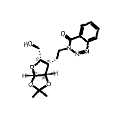 CC1(C)O[C@@H]2O[C@H](CO)[C@H](CCn3nnc4ccccc4c3=O)[C@@H]2O1